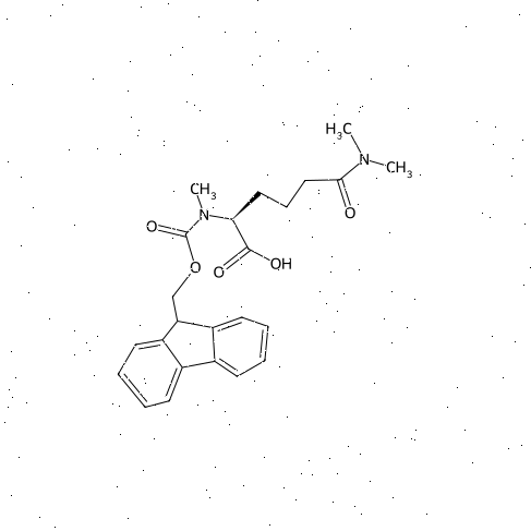 CN(C)C(=O)CCC[C@@H](C(=O)O)N(C)C(=O)OCC1c2ccccc2-c2ccccc21